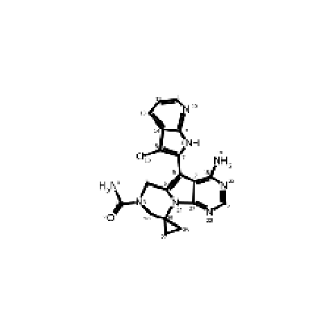 NC(=O)N1Cc2c(-c3[nH]c4ncccc4c3Cl)c3c(N)ncnc3n2C2(CC2)C1